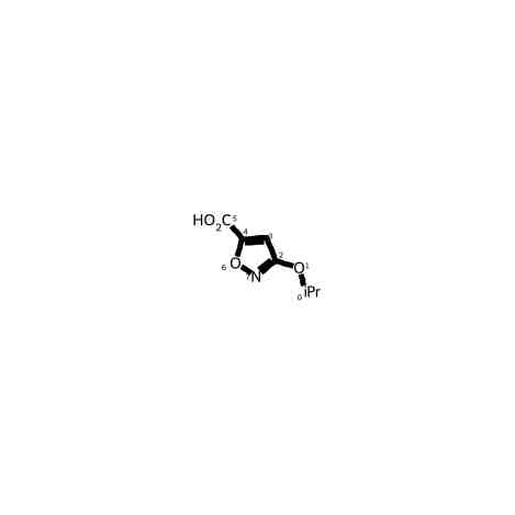 CC(C)Oc1cc(C(=O)O)on1